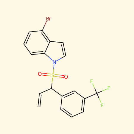 C=CC(c1cccc(C(F)(F)F)c1)S(=O)(=O)n1ccc2c(Br)cccc21